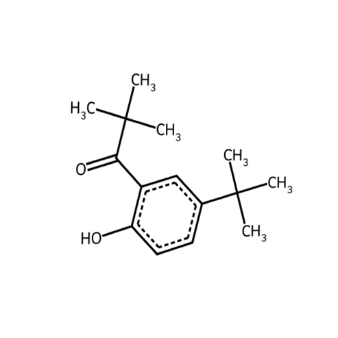 CC(C)(C)C(=O)c1cc(C(C)(C)C)ccc1O